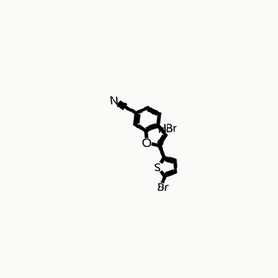 Br.N#Cc1ccc2cc(-c3ccc(Br)s3)oc2c1